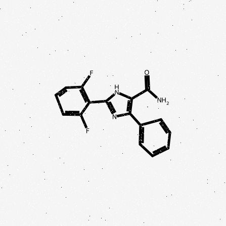 NC(=O)c1[nH]c(-c2c(F)cccc2F)nc1-c1ccccc1